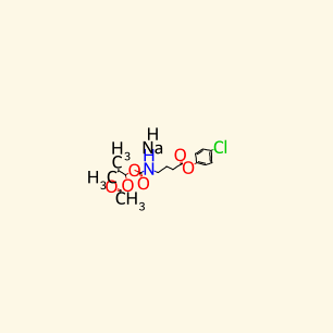 CC(=O)OC(OC(=O)NCCCC(=O)Oc1ccc(Cl)cc1)C(C)C.[NaH]